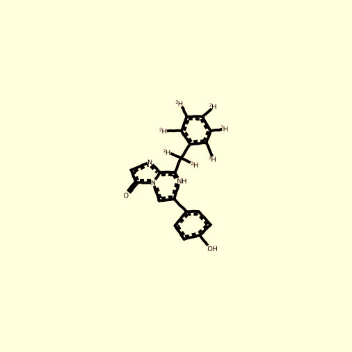 [2H]c1c([2H])c([2H])c(C([2H])([2H])c2[nH]c(-c3ccc(O)cc3)cn3c(=O)cnc2-3)c([2H])c1[2H]